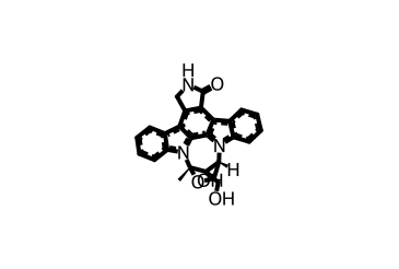 C[C@@]12OC[C@@H](n3c4ccccc4c4c5c(c6c7ccccc7n1c6c43)CNC5=O)[C@]2(O)CO